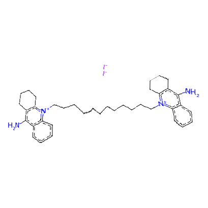 Nc1c2c([n+](CCCCCCCCCCCC[n+]3c4c(c(N)c5ccccc53)CCCC4)c3ccccc13)CCCC2.[I-].[I-]